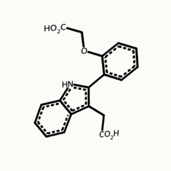 O=C(O)COc1ccccc1-c1[nH]c2ccccc2c1CC(=O)O